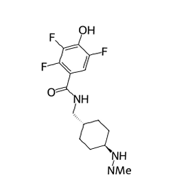 CNN[C@H]1CC[C@H](CNC(=O)c2cc(F)c(O)c(F)c2F)CC1